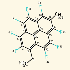 CCc1c(F)c(F)c2c(F)c(F)c3c(F)c(C)c(F)c4c(F)c(F)c1c2c34